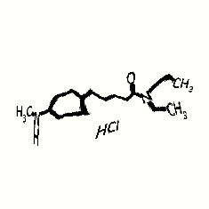 CCN(CC)C(=O)CCCCC1CCC(NC)CC1.Cl